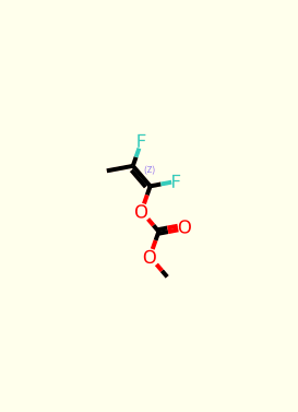 COC(=O)O/C(F)=C(\C)F